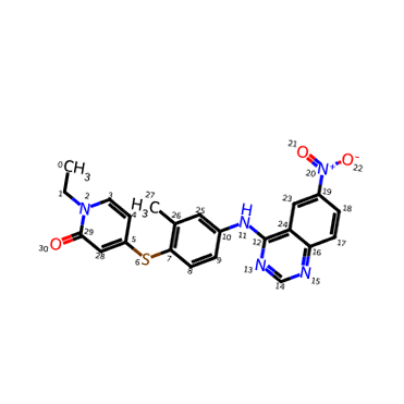 CCn1ccc(Sc2ccc(Nc3ncnc4ccc([N+](=O)[O-])cc34)cc2C)cc1=O